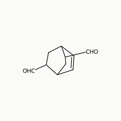 O=CC1CC2C=CC1CC2C=O